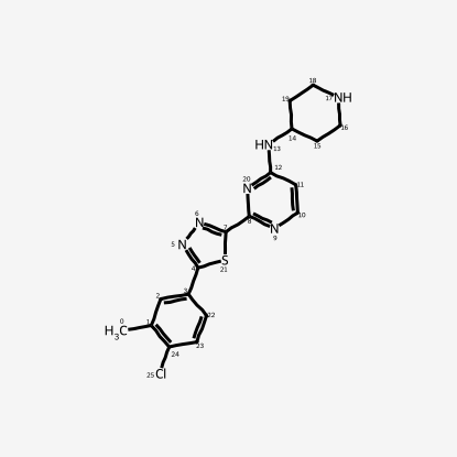 Cc1cc(-c2nnc(-c3nccc(NC4CCNCC4)n3)s2)ccc1Cl